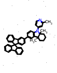 Cc1cc(N2c3ccc(-c4ccc5c(c4)-c4ccccc4C54c5ccccc5-c5ccccc54)cc3C3(C)CCCCC23C)ccn1